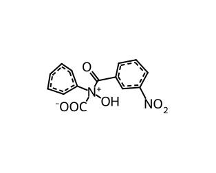 O=C([O-])[N+](O)(C(=O)c1cccc([N+](=O)[O-])c1)c1ccccc1